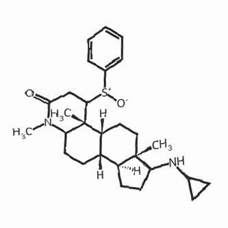 CN1C(=O)CC([S+]([O-])c2ccccc2)[C@@]2(C)C1CC[C@@H]1[C@H]2CC[C@]2(C)C(NC3CC3)CC[C@@H]12